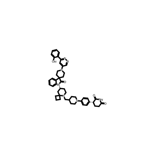 O=C1CC[C@H](c2ccc(N3CCC(CN4CC[C@@H](NC(=O)C5(c6ccccc6)CCN(c6cnnc(-c7ccccc7O)c6)CC5)CC45CCC5)CC3)cc2)C(=O)N1